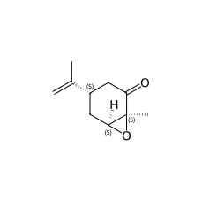 C=C(C)[C@@H]1CC(=O)[C@@]2(C)O[C@H]2C1